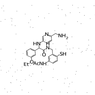 CCOc1cccc(C(Nc2ccc(CN)nc2)C(=O)NCc2cc(NC(C)=O)ccc2S)c1